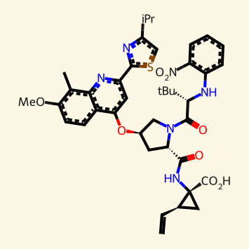 C=C[C@@H]1C[C@]1(NC(=O)[C@@H]1C[C@@H](Oc2cc(-c3nc(C(C)C)cs3)nc3c(C)c(OC)ccc23)CN1C(=O)[C@@H](Nc1ccccc1[N+](=O)[O-])C(C)(C)C)C(=O)O